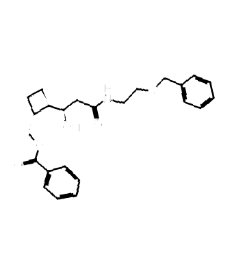 O=C(C[C@@H](O)[C@@H]1CC[C@H]1COC(=O)c1ccccc1)NCCSCc1ccccc1